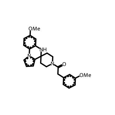 COc1cccc(CC(=O)N2CCC3(CC2)Nc2cc(OC)ccc2-n2cccc23)c1